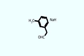 Cc1cccc(CC=O)c1.[NaH]